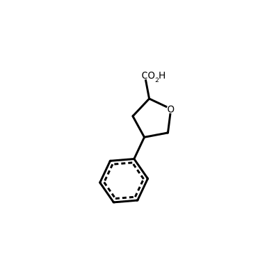 O=C(O)C1CC(c2ccccc2)CO1